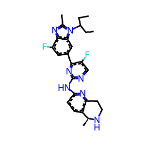 CCC(CC)n1c(C)nc2c(F)cc(-c3nc(Nc4ccc5c(n4)CCN[C@H]5C)ncc3F)cc21